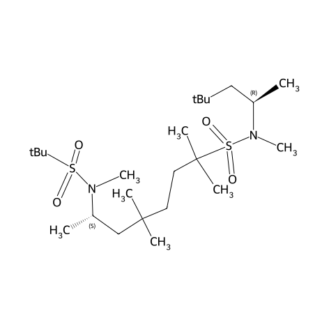 C[C@H](CC(C)(C)C)N(C)S(=O)(=O)C(C)(C)CCC(C)(C)C[C@H](C)N(C)S(=O)(=O)C(C)(C)C